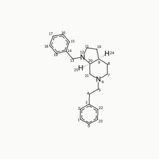 c1ccc(CCN2CC[C@@H]3CCN(Cc4ccccc4)[C@@H]3C2)cc1